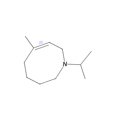 C/C1=C/CN(C(C)C)CCCC1